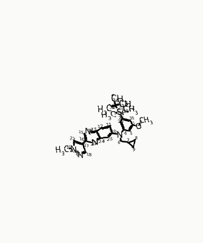 COc1cc(N(CC2CC2)c2ccc3ncc(-c4cnn(C)c4)nc3c2)cc([Si](C)(C)C(C)(C)C)c1